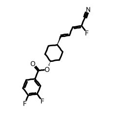 N#C/C(F)=C/C=C/[C@H]1CC[C@H](OC(=O)c2ccc(F)c(F)c2)CC1